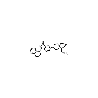 NCC1C2CC2CC12CCN(c1cnc3c(N4CCCc5ncccc54)n[nH]c3n1)CC2